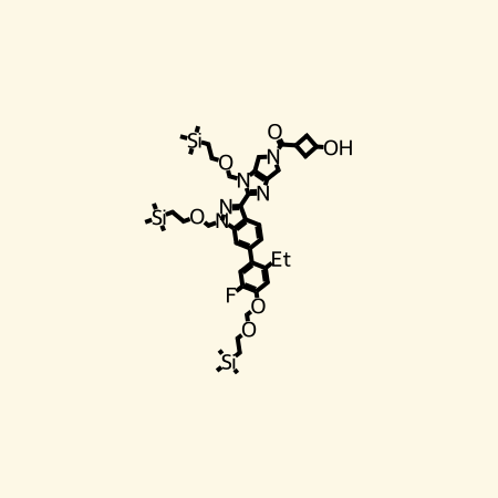 CCc1cc(OCOCC[Si](C)(C)C)c(F)cc1-c1ccc2c(-c3nc4c(n3COCC[Si](C)(C)C)CN(C(=O)C3CC(O)C3)C4)nn(COCC[Si](C)(C)C)c2c1